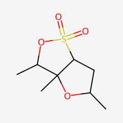 CC1CC2C(C)(O1)C(C)OS2(=O)=O